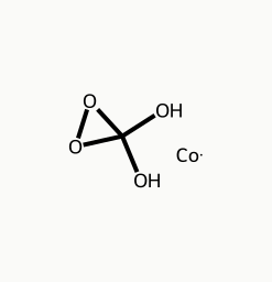 OC1(O)OO1.[Co]